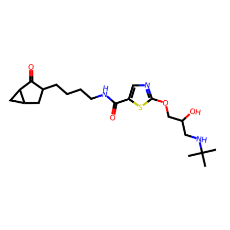 CC(C)(C)NCC(O)COc1ncc(C(=O)NCCCCC2CC3CC3C2=O)s1